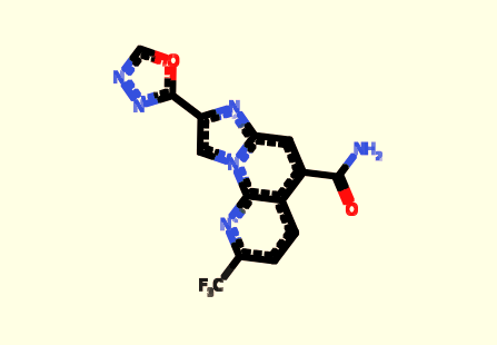 NC(=O)c1cc2nc(-c3nnco3)cn2c2nc(C(F)(F)F)ccc12